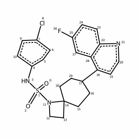 O=S(=O)(Nc1ccc(Cl)cc1)N1CCC12CCC(c1ccnc3ccc(F)cc13)CC2